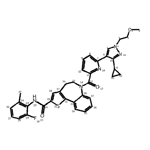 COCCn1cc(-c2cccc(C(=O)N3CCc4cc(C(=O)Nc5c(C)cccc5F)sc4-c4ccccc43)n2)c(C2CC2)n1